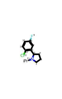 CC(C)N1CCCC1c1cc(F)ccc1Cl